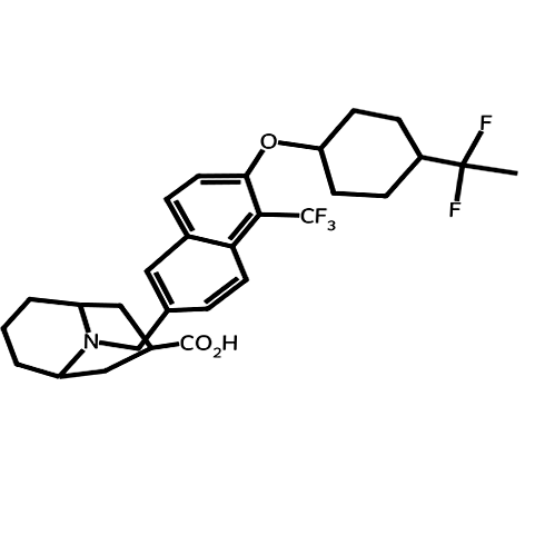 CC(F)(F)C1CCC(Oc2ccc3cc(CN4C5CCCC4CC(C(=O)O)C5)ccc3c2C(F)(F)F)CC1